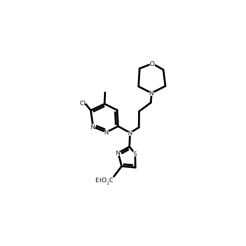 CCOC(=O)c1csc(N(CCCN2CCOCC2)c2cc(C)c(Cl)nn2)n1